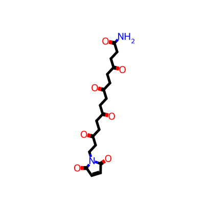 NC(=O)CCC(=O)CCC(=O)CCC(=O)CCC(=O)CCN1C(=O)C=CC1=O